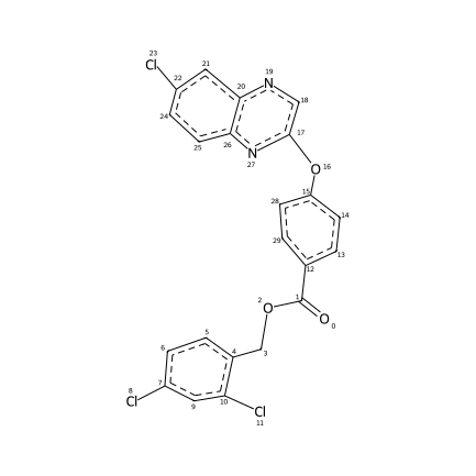 O=C(OCc1ccc(Cl)cc1Cl)c1ccc(Oc2cnc3cc(Cl)ccc3n2)cc1